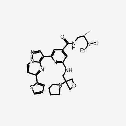 CCN(CC)[C@@H](C)CNC(=O)c1cc(NCC2(N3CCCC3)COC2)nc(-c2cnn3ccc(-c4cccs4)nc23)c1